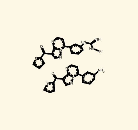 CC(C)NC(=N)Nc1cccc(-c2ccnc3c(C(=O)c4cccs4)cnn23)c1.Nc1cccc(-c2ccnc3c(C(=O)c4cccs4)cnn23)c1